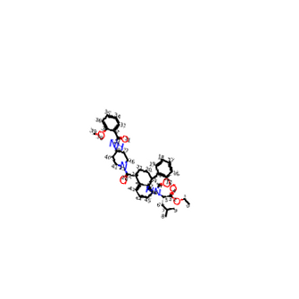 CCOC(=O)[C@H](CC(C)C)NC(=O)[C@@]1(c2ccccc2)CC[C@H](C(=O)N2CCC(NC(=O)c3ccccc3OC)CC2)c2ccccc21